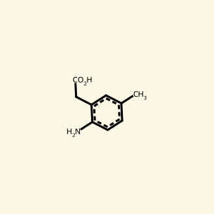 Cc1ccc(N)c(CC(=O)O)c1